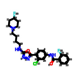 O=C(Nc1ccc(-c2nnc(NCCCCN3CCC(F)CC3)o2)c(Cl)c1)c1ccccc1F